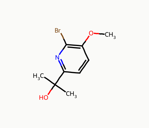 COc1ccc(C(C)(C)O)nc1Br